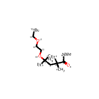 CCC(C)(CC(C)(CC)C(=O)NC)OCCOCC(C)(C)C